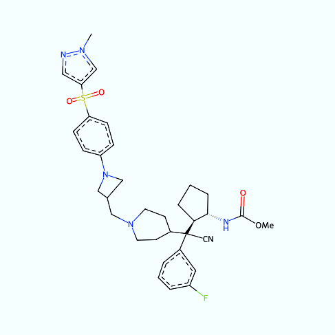 COC(=O)N[C@H]1CCC[C@@H]1C(C#N)(c1cccc(F)c1)C1CCN(CC2CN(c3ccc(S(=O)(=O)c4cnn(C)c4)cc3)C2)CC1